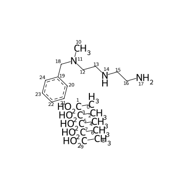 CC(=O)O.CC(=O)O.CC(=O)O.CC(=O)O.CC(=O)O.CN(CCNCCN)Cc1ccccc1